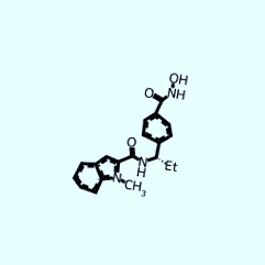 CC[C@H](NC(=O)c1cc2ccccc2n1C)c1ccc(C(=O)NO)cc1